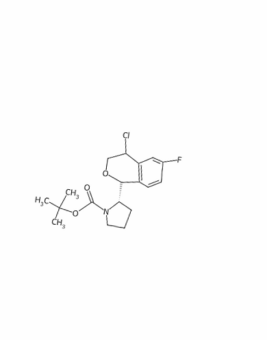 CC(C)(C)OC(=O)N1CCC[C@H]1C1OCC(Cl)c2cc(F)ccc21